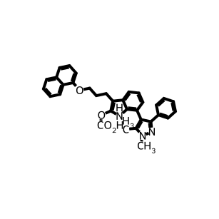 Cc1c(-c2cccc3c(CCCOc4cccc5ccccc45)c(OC(=O)O)[nH]c23)c(-c2ccccc2)nn1C